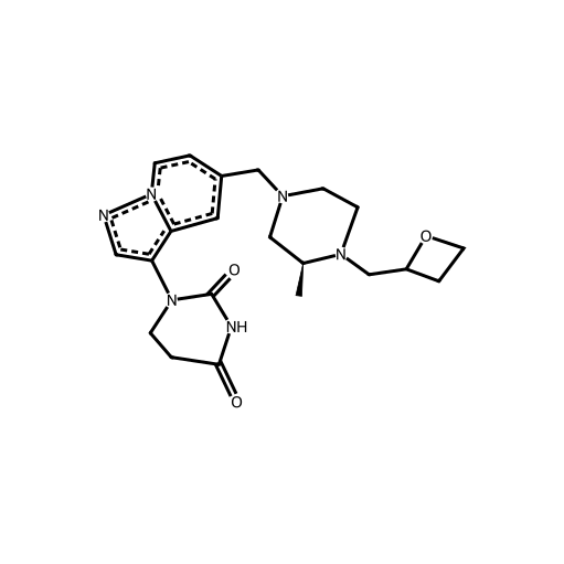 C[C@H]1CN(Cc2ccn3ncc(N4CCC(=O)NC4=O)c3c2)CCN1CC1CCO1